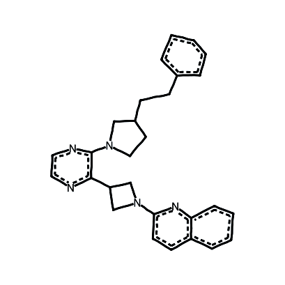 c1ccc(CCC2CCN(c3nccnc3C3CN(c4ccc5ccccc5n4)C3)C2)cc1